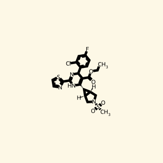 CCOC(=O)C1=C([C@H]2[C@@H]3CN(S(C)(=O)=O)C[C@@H]32)NC(c2nccs2)=NC1c1ccc(F)cc1Cl